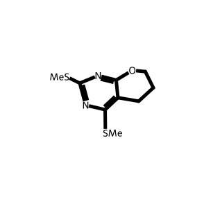 CSc1nc2c(c(SC)n1)CCCO2